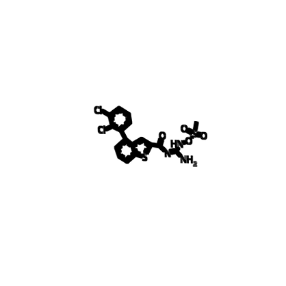 CS(=O)(=O)ONC(N)=NC(=O)c1cc2c(-c3cccc(Cl)c3Cl)cccc2s1